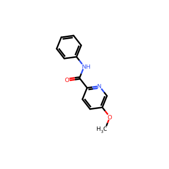 COc1ccc(C(=O)Nc2ccccc2)nc1